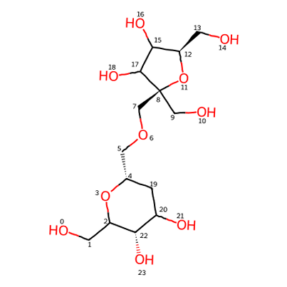 OCC1O[C@H](COC[C@]2(CO)O[C@H](CO)C(O)C2O)CC(O)[C@@H]1O